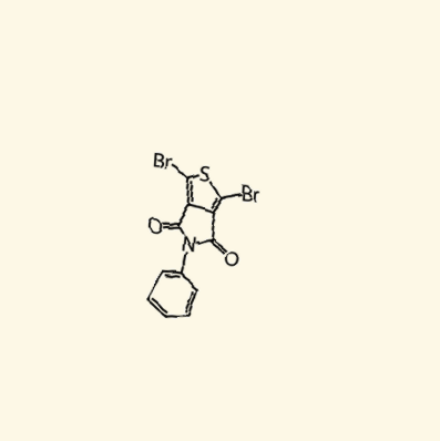 O=C1c2c(Br)sc(Br)c2C(=O)N1c1ccccc1